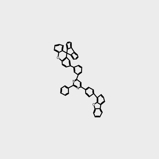 c1ccc(-c2nc(-c3ccc(-c4cccc5c4oc4ccccc45)cc3)cc(-c3cccc(-c4ccc5c(c4)C4(c6ccccc6O5)c5ccccc5-c5ccccc54)c3)n2)cc1